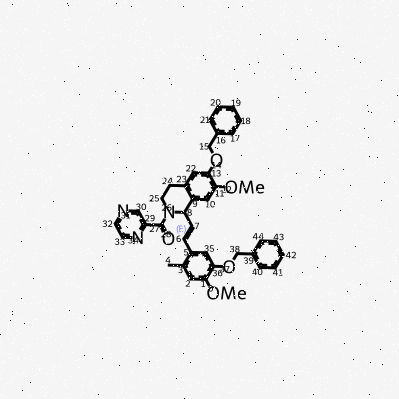 COc1cc(C)c(/C=C/C2c3cc(OC)c(OCc4ccccc4)cc3CCN2C(=O)c2cnccn2)cc1OCc1ccccc1